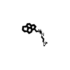 CN(C)CCCN=C=NCc1ccc2ccc3cccc4ccc1c2c34